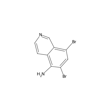 Nc1c(Br)cc(Br)c2cnccc12